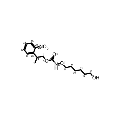 CC(COC(=O)NOCCCCCCO)c1ccccc1[N+](=O)[O-]